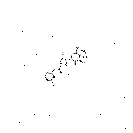 CC1(C)C(=N)NC(c2sc(C(=O)Nc3cccc(Cl)n3)cc2Cl)C[S+]1[O-]